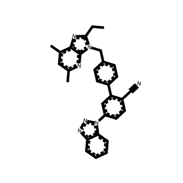 CCc1nc2c(C)cc(C)nc2n1Cc1ccc(-c2cc(-n3nnc4ccccc43)ccc2C#N)cc1